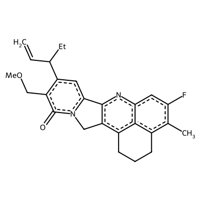 C=CC(CC)c1cc2n(c(=O)c1COC)Cc1c-2nc2cc(F)c(C)c3c2c1CCC3